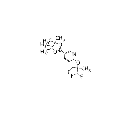 CC(CF)(Oc1ccc(B2OC(C)(C)C(C)(C)O2)cn1)C(F)F